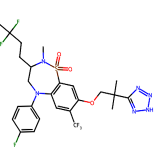 CN1C(CCC(C)(F)F)CN(c2ccc(F)cc2)c2cc(C(F)(F)F)c(OCC(C)(C)c3nn[nH]n3)cc2S1(=O)=O